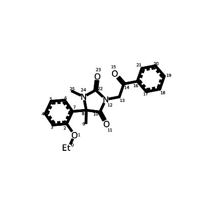 CCOc1ccccc1C1(C)C(=O)N(CC(=O)c2ccccc2)C(=O)N1C